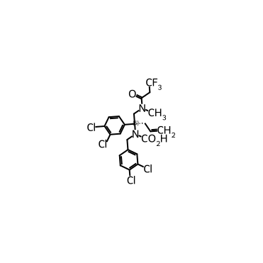 C=CC[C@@](CN(C)C(=O)CC(F)(F)F)(c1ccc(Cl)c(Cl)c1)N(Cc1ccc(Cl)c(Cl)c1)C(=O)O